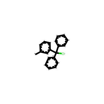 Cc1cccc(C(Cl)(c2ccccc2)c2ccccc2)c1